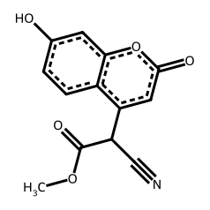 COC(=O)C(C#N)c1cc(=O)oc2cc(O)ccc12